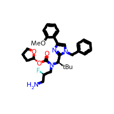 COc1ccccc1-c1cn(Cc2ccccc2)c([C@H](N(C[C@H](F)CN)C(=O)O[C@H]2CCCO2)C(C)(C)C)n1